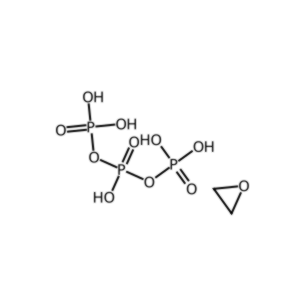 C1CO1.O=P(O)(O)OP(=O)(O)OP(=O)(O)O